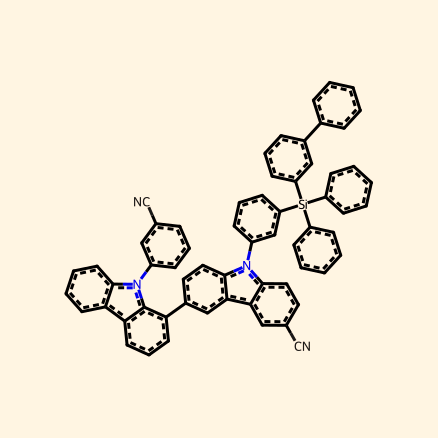 N#Cc1cccc(-n2c3ccccc3c3cccc(-c4ccc5c(c4)c4cc(C#N)ccc4n5-c4cccc([Si](c5ccccc5)(c5ccccc5)c5cccc(-c6ccccc6)c5)c4)c32)c1